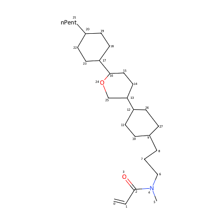 C=CC(=O)N(C)CCCC1CCC(C2CCC(C3CCC(CCCCC)CC3)OC2)CC1